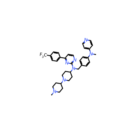 CN1CCC(N2CCC(N(Cc3ccc(N(C)c4ccncc4)cc3)c3nccc(-c4ccc(C(F)(F)F)cc4)n3)CC2)CC1